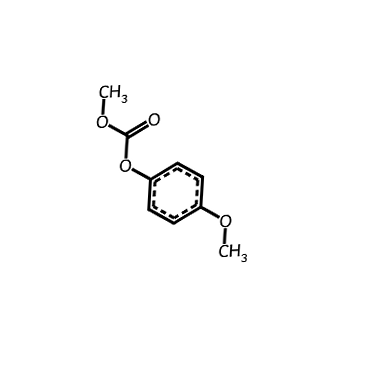 COC(=O)Oc1ccc(OC)cc1